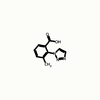 Cc1cccc(C(=O)O)c1-n1ccnn1